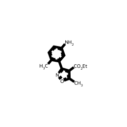 CCOC(=O)c1c(-c2cc(N)ccc2C)noc1C